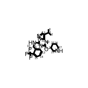 CC(C)c1cnn2c(N[C@@H](C)c3ccccc3C(F)(F)F)nc(O[C@@H]3CCCNC3)nc12